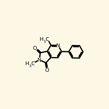 Cc1nc(-c2ccccc2)cc2c1C(=O)N(C)C2=O